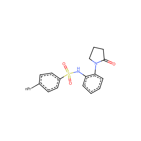 CCCc1ccc(S(=O)(=O)Nc2ccccc2N2CCCC2=O)cc1